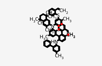 C=Cc1ccccc1Sc1cc2c(cc1C)Sc1c(-c3c(Nc4ccc(C)cc4-c4ccccc4)ccc(C)c3-c3ccccc3C=C)cc(C)cc1N2c1cc2c(cc1C)C(C)(C)CCC2(C)C